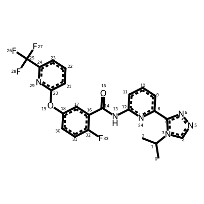 CC(C)n1cnnc1-c1cccc(NC(=O)c2cc(Oc3cccc(C(F)(F)F)n3)ccc2F)n1